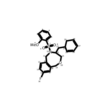 COc1ccccc1S(=O)(=O)N1Cc2ccc(F)cc2COCC1CC1C=CC=CC1